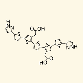 O=C(O)Cc1cc(-c2ccc(-c3cc[nH]n3)s2)sc1-c1ccc(-c2sc(-c3ccc(-c4cc[nH]n4)s3)cc2CC(=O)O)s1